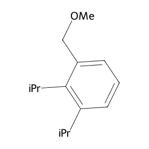 COCc1cccc(C(C)C)c1C(C)C